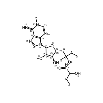 CCC(O)[PH](=O)OC(C)(CC)C[C@H]1OC(n2cnc3c(=N)n(C)cnc32)[C@H](O)[C@@H]1O